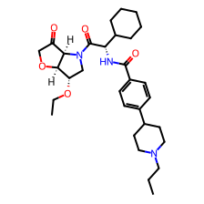 CCCN1CCC(c2ccc(C(=O)N[C@H](C(=O)N3C[C@H](OCC)[C@H]4OCC(=O)[C@H]43)C3CCCCC3)cc2)CC1